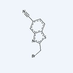 N#Cc1ccc2sc(CBr)nc2c1